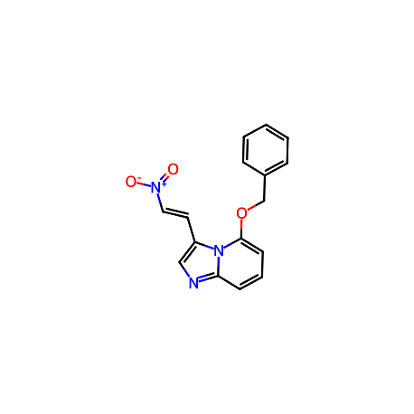 O=[N+]([O-])C=Cc1cnc2cccc(OCc3ccccc3)n12